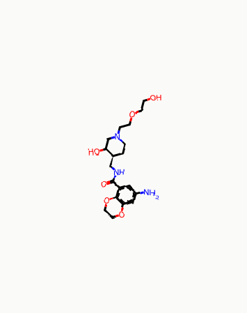 Nc1cc2c(c(C(=O)NC[C@@H]3CCN(CCOCCO)CC3O)c1)OCCO2